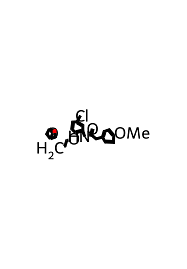 C1CC2CC1O2.C=CCOc1ccc(Cl)cc1NC(=O)Cc1ccc(OC)cc1